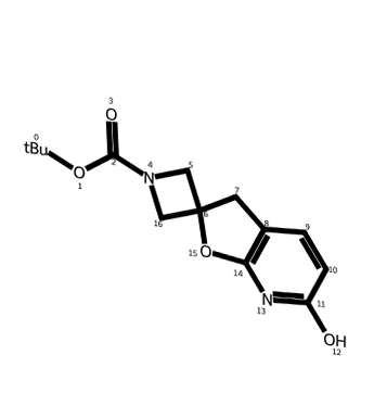 CC(C)(C)OC(=O)N1CC2(Cc3ccc(O)nc3O2)C1